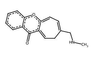 CNCC1=CC=c2oc3ccccc3c(=O)c2=CC1